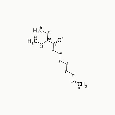 C=CCCCCCCC(=O)C(CC)CC